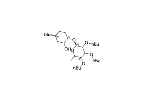 CCCCOC1C(OCCCC)[C@H](OCCCC)C(C)O[C@H]1O[C@H]1CC[C@H](C(C)(C)C)CC1O